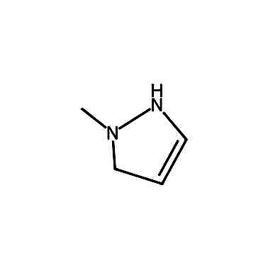 CN1CC=CN1